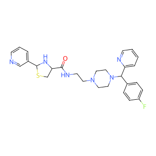 O=C(NCCN1CCN(C(c2ccc(F)cc2)c2ccccn2)CC1)C1CSC(c2cccnc2)N1